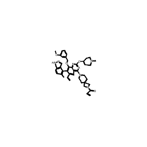 C=CC(=O)N1CC2(CCN(c3nc(OC4CCN(C)CC4)nc4c(OCc5cccc(OC)c5)c(-c5c(C)ccc6[nH]ncc56)c(C=C)cc34)CC2)C1